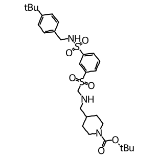 CC(C)(C)OC(=O)N1CCC(CNCS(=O)(=O)c2cccc(S(=O)(=O)NCc3ccc(C(C)(C)C)cc3)c2)CC1